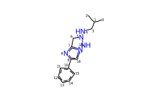 CC(C)CNN1Cc2nc(-c3c[c]ccc3)cn2N1